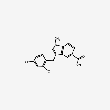 Cn1cc(Cc2ccc(Cl)cc2Cl)c2cc(C(=O)O)ccc21